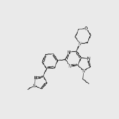 CCn1cnc2c(N3CCOCC3)nc(-c3cccc(-c4ccn(C)n4)c3)nc21